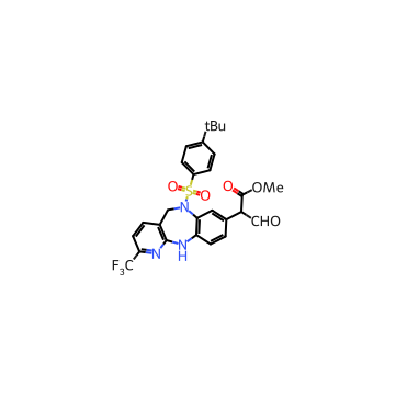 COC(=O)C(C=O)c1ccc2c(c1)N(S(=O)(=O)c1ccc(C(C)(C)C)cc1)Cc1ccc(C(F)(F)F)nc1N2